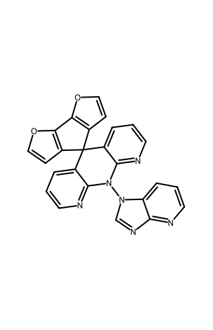 c1cnc2c(c1)C1(c3cccnc3N2n2cnc3ncccc32)c2ccoc2-c2occc21